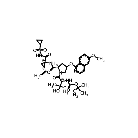 C=C[C@@H]1C[C@]1(NC(=O)[C@@H]1CC(Oc2nccc3cc(OC)ccc23)CN1C(=O)[C@@H](NC(=O)OC(C)(C)C)C(C)(C)O)C(=O)NS(=O)(=O)C1CC1